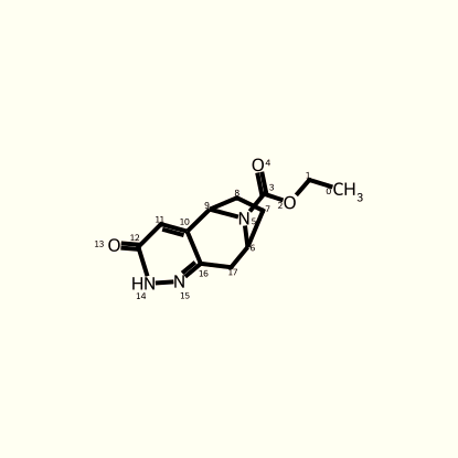 CCOC(=O)N1C2CCC1c1cc(=O)[nH]nc1C2